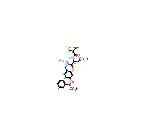 CCCCCN(Cc1ccc(O[C@H](C(=O)O)c2ccccc2)cc1)C(=O)C(CC(=O)O)NC(=O)C(CS)C(C)C